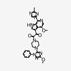 COc1nc(N2CCN(C(=O)C(=O)c3c[nH]c4c(-n5cnc(C)n5)ncc(OC)c34)CC2)n(-c2ccccc2)n1